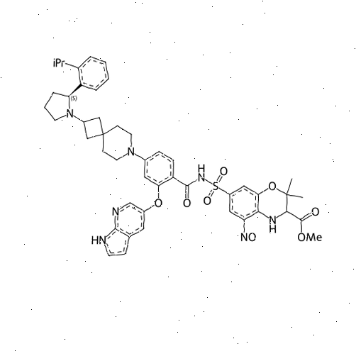 COC(=O)C1Nc2c(N=O)cc(S(=O)(=O)NC(=O)c3ccc(N4CCC5(CC4)CC(N4CCC[C@H]4c4ccccc4C(C)C)C5)cc3Oc3cnc4[nH]ccc4c3)cc2OC1(C)C